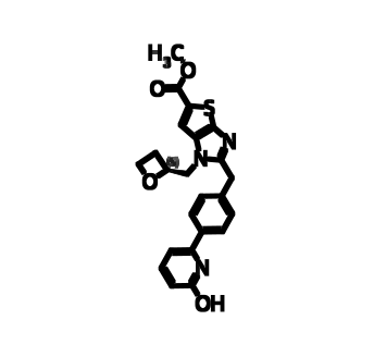 COC(=O)c1cc2c(nc(Cc3ccc(-c4cccc(O)n4)cc3)n2C[C@@H]2CCO2)s1